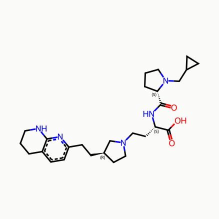 O=C(O)[C@H](CCN1CC[C@@H](CCc2ccc3c(n2)NCCC3)C1)NC(=O)[C@@H]1CCCN1CC1CC1